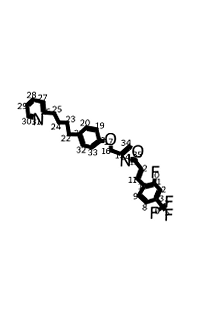 Fc1cc(C(F)(F)F)ccc1C=Cc1nc(COc2ccc(CCCCc3ccccn3)cc2)co1